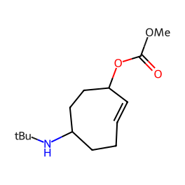 COC(=O)OC1/C=C/CCC(NC(C)(C)C)CC1